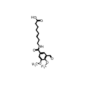 COc1cc(C(=O)NCCCCCCCC(=O)O)cc(C=O)c1OC